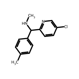 CNC(c1ccc(C)cc1)c1ccc(Cl)cn1